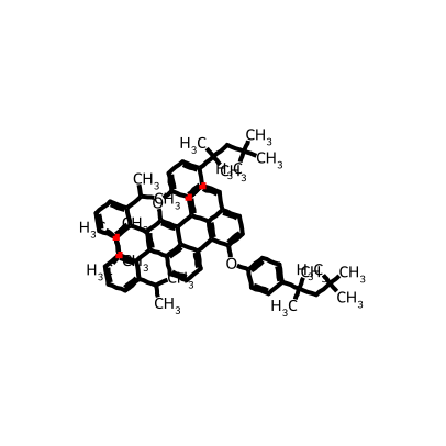 CC(C)c1cccc(C(C)C)c1-c1c(-c2c(C(C)C)cccc2C(C)C)c2cccc3c4c(Oc5ccc(C(C)(C)CC(C)(C)C)cc5)ccc5cccc(c(c1Oc1ccc(C(C)(C)CC(C)(C)C)cc1)c23)c54